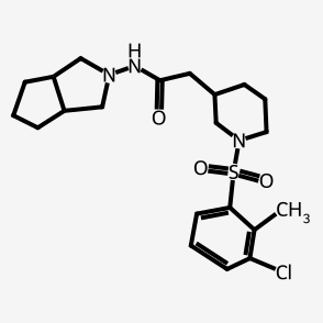 Cc1c(Cl)cccc1S(=O)(=O)N1CCCC(CC(=O)NN2CC3CCCC3C2)C1